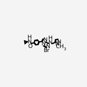 Cn1nccc1CNc1nc(Br)cn2c(-c3ccc(C(=O)NC4CC4)cc3)cnc12